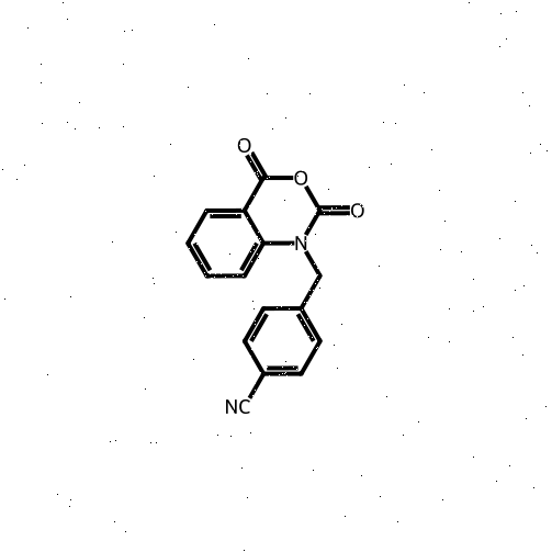 N#Cc1ccc(Cn2c(=O)oc(=O)c3ccccc32)cc1